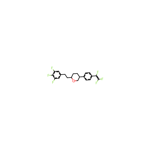 FC(F)=C(F)c1ccc(C2CCC(CCc3cc(F)c(F)c(F)c3)OC2)cc1